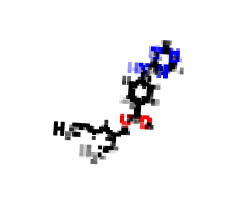 CCCCC(CC)COC(=O)c1ccc(Nc2ncncn2)cc1